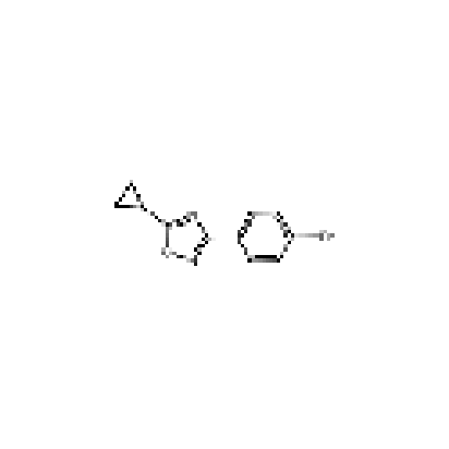 CC(C)c1ccc(-c2noc(C3CC3)n2)cc1